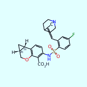 O=C(O)c1c(NS(=O)(=O)c2ccc(F)cc2C=C2CN3CCC2CC3)ccc2c1OC[C@@H]1C[C@H]21